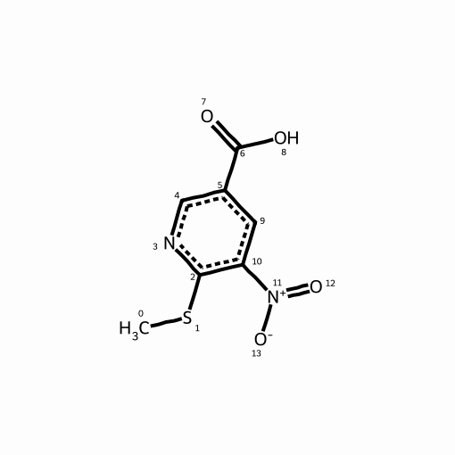 CSc1ncc(C(=O)O)cc1[N+](=O)[O-]